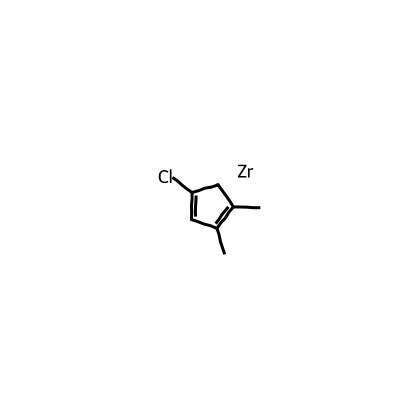 CC1=C(C)CC(Cl)=C1.[Zr]